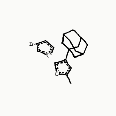 Cc1cc(C23CC4CC(CC(C4)C2)C3)c[cH-]1.[Zr+2].c1cc[cH-]c1